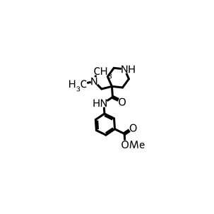 COC(=O)c1cccc(NC(=O)C2(CN(C)C)CCNCC2)c1